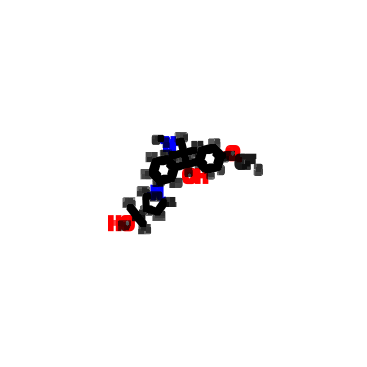 CN1CC(C)([C@](O)(c2ccc(OC(F)(F)F)cc2)c2cccc(N3CC[C@H](C(C)(C)O)C3)c2)C1